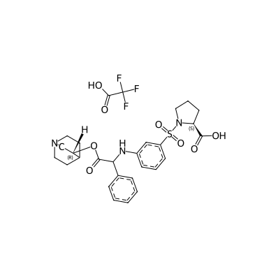 O=C(O)C(F)(F)F.O=C(O[C@H]1CN2CCC1CC2)C(Nc1cccc(S(=O)(=O)N2CCC[C@H]2C(=O)O)c1)c1ccccc1